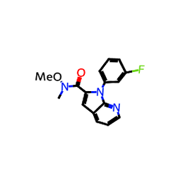 CON(C)C(=O)c1cc2cccnc2n1-c1cccc(F)c1